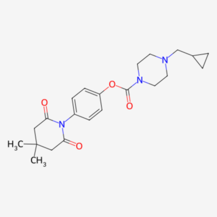 CC1(C)CC(=O)N(c2ccc(OC(=O)N3CCN(CC4CC4)CC3)cc2)C(=O)C1